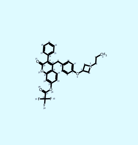 CCCN1CC(Oc2ccc(Cc3c(-c4ccccc4)c(=O)oc4cc(OC(=O)C(F)(F)F)ccc34)cc2)C1